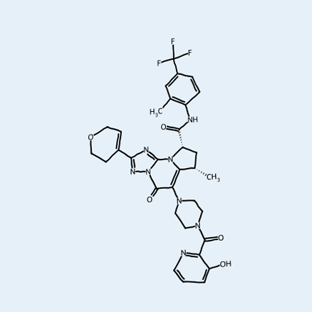 Cc1cc(C(F)(F)F)ccc1NC(=O)[C@@H]1C[C@H](C)c2c(N3CCN(C(=O)c4ncccc4O)CC3)c(=O)n3nc(C4=CCOCC4)nc3n21